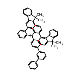 CC1(C)c2ccccc2-c2cc(-c3ccccc3N(c3ccc(-c4cccc(-c5ccccc5)c4)cc3)c3ccccc3-c3cccc4c3-c3ccccc3C4(C)C)ccc21